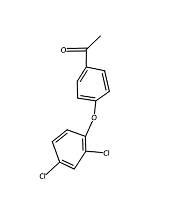 CC(=O)c1ccc(Oc2ccc(Cl)cc2Cl)cc1